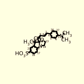 CN(C)c1ccc(/C=C/C=C\C23OCCN2c2ccc(S(=O)(=O)O)cc2C3(C)C)cc1